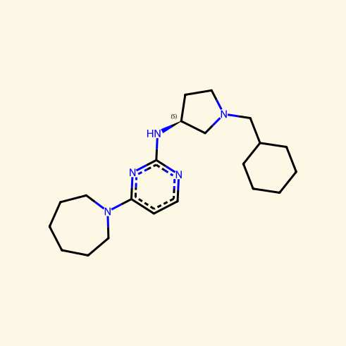 c1cc(N2CCCCCC2)nc(N[C@H]2CCN(CC3CCCCC3)C2)n1